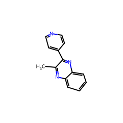 Cc1nc2ccccc2nc1-c1ccncc1